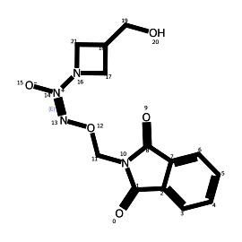 O=C1c2ccccc2C(=O)N1CO/N=[N+](/[O-])N1CC(CO)C1